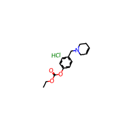 CCOC(=O)Oc1ccc(CN2CC=CCC2)cc1.Cl